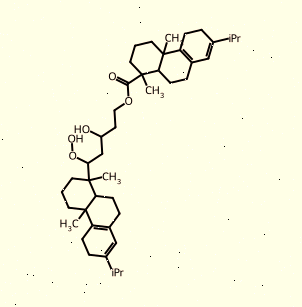 CC(C)C1=CC2=C(CC1)C1(C)CCCC(C)(C(=O)OCCC(O)CC(OO)C3(C)CCCC4(C)C5=C(C=C(C(C)C)CC5)CCC43)C1CC2